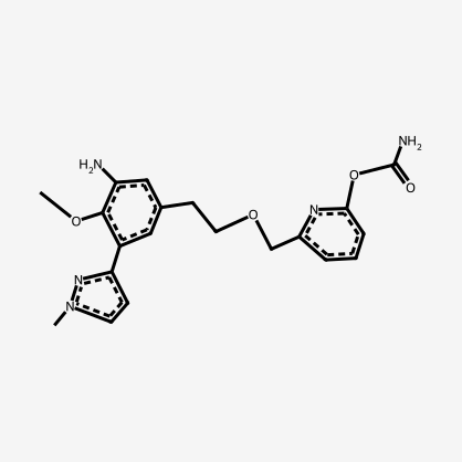 COc1c(N)cc(CCOCc2cccc(OC(N)=O)n2)cc1-c1ccn(C)n1